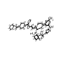 Cc1nc(Nc2ncc(C(=O)Nc3c(C)cccc3Cl)s2)cc(N2CCN(CCOC(=O)N3CCN(C(=O)OC4CCCCC4)CC3)CC2)n1